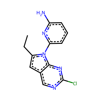 CCc1cc2cnc(Cl)nc2n1-c1cccc(N)n1